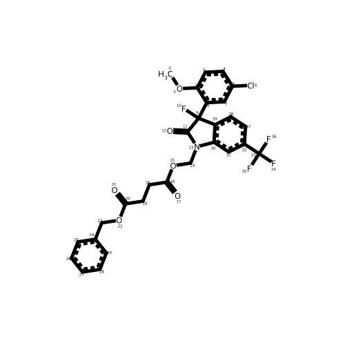 COc1ccc(Cl)cc1C1(F)C(=O)N(COC(=O)CCC(=O)OCc2ccccc2)c2cc(C(F)(F)F)ccc21